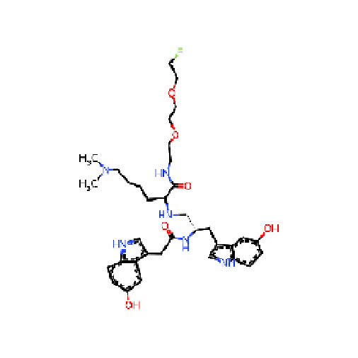 CN(C)CCCC[C@H](NC[C@H](Cc1c[nH]c2ccc(O)cc12)NC(=O)Cc1c[nH]c2ccc(O)cc12)C(=O)NCCOCCOCCF